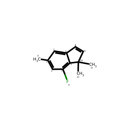 Cc1cc(F)c2c(c1)C=CC2(C)C